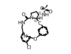 CS(=O)(=O)N[C@H]1CCN2C(=O)NCc3ccc(Cl)c(n3)Oc3cccc(c3)C[C@@H]12